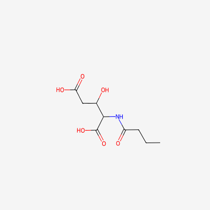 CCCC(=O)NC(C(=O)O)C(O)CC(=O)O